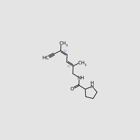 C#C/C(C)=C\C=C(/C)CNC(=O)C1CCCN1